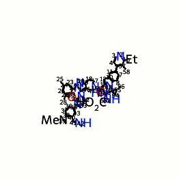 CCc1nccc(-c2ccc3c(c2)cc(C(=O)N2CCc4nn(-c5cc(C)cc(C)c5)c(N5CCN(c6ccc(NC)c(C=N)c6)C5=O)c4C2)n3[C@@]2(C(=N)NC(=O)O)C[C@@H]2C)c1C